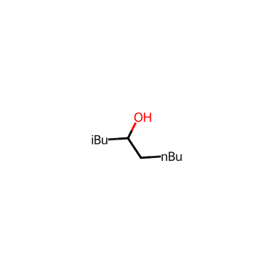 CCCCCC(O)C(C)CC